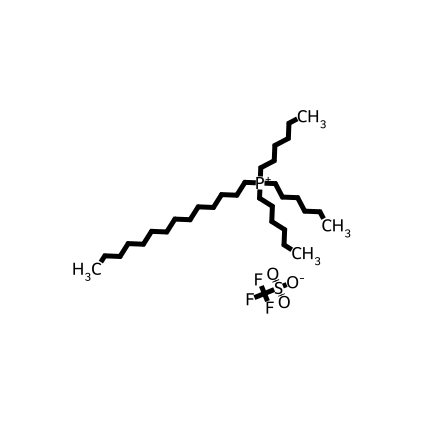 CCCCCCCCCCCCCC[P+](CCCCCC)(CCCCCC)CCCCCC.O=S(=O)([O-])C(F)(F)F